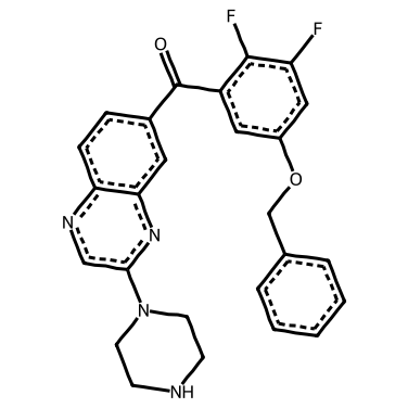 O=C(c1ccc2ncc(N3CCNCC3)nc2c1)c1cc(OCc2ccccc2)cc(F)c1F